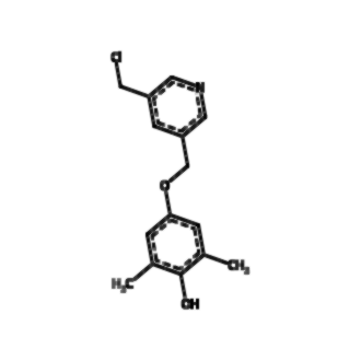 Cc1cc(OCc2cncc(CCl)c2)cc(C)c1O